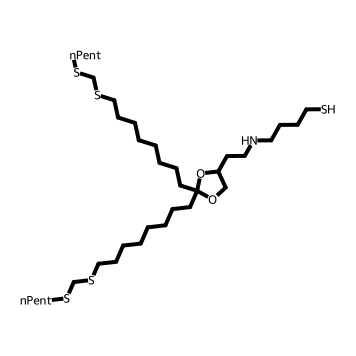 CCCCCSCSCCCCCCCCC1(CCCCCCCCSCSCCCCC)OCC(CCNCCCCS)O1